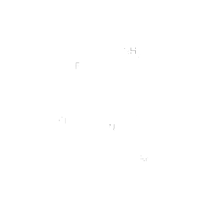 Nc1cc(CBr)nc(Cl)c1F